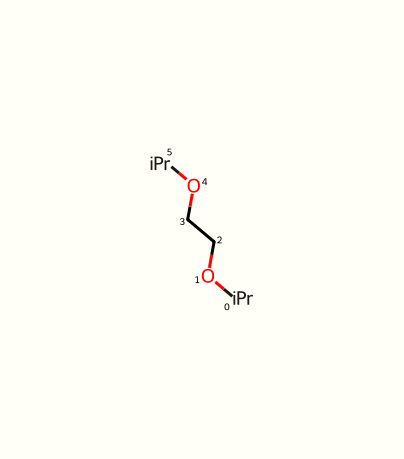 [CH2]C(C)OCCOC([CH2])C